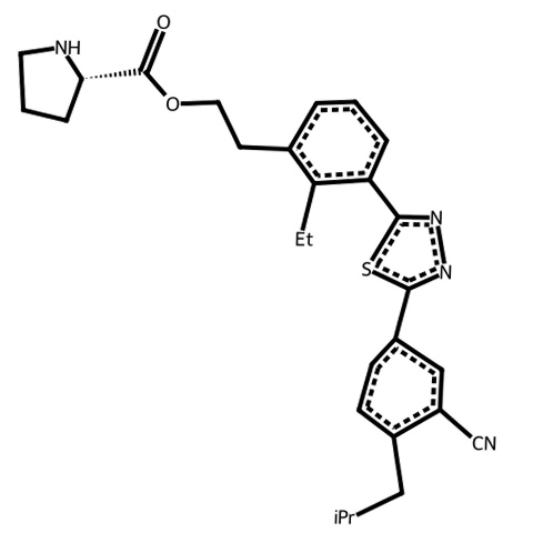 CCc1c(CCOC(=O)[C@@H]2CCCN2)cccc1-c1nnc(-c2ccc(CC(C)C)c(C#N)c2)s1